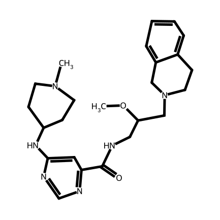 COC(CNC(=O)c1cc(NC2CCN(C)CC2)ncn1)CN1CCc2ccccc2C1